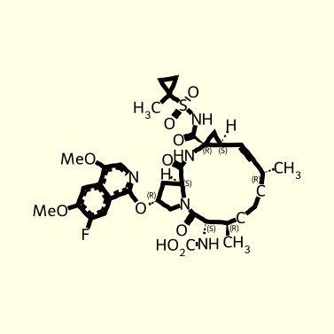 COc1cc2c(OC)cnc(O[C@@H]3C[C@H]4C(=O)N[C@]5(C(=O)NS(=O)(=O)C6(C)CC6)C[C@H]5C=C[C@H](C)CCC[C@@H](C)[C@H](NC(=O)O)C(=O)N4C3)c2cc1F